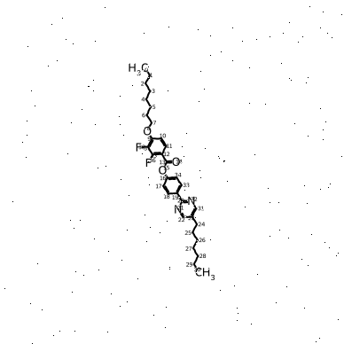 CCCCCCCCOc1ccc(C(=O)Oc2ccc(-c3ncc(CCCCCCC)cn3)cc2)c(F)c1F